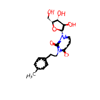 Cc1ccc(CCn2c(=O)ccn([C@@H]3O[C@H](CO)[C@H](O)C3O)c2=O)cc1